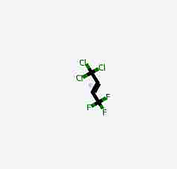 FC(F)(F)/C=C/C(Cl)(Cl)Cl